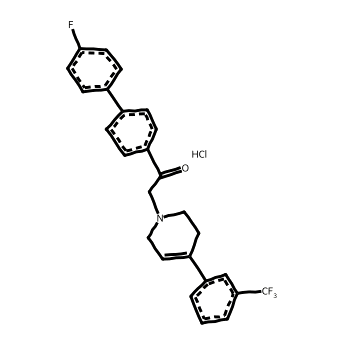 Cl.O=C(CN1CC=C(c2cccc(C(F)(F)F)c2)CC1)c1ccc(-c2ccc(F)cc2)cc1